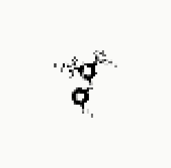 CN(C)c1cc(Oc2cccc(C(F)(F)F)c2)nc(S(C)(=O)=O)n1